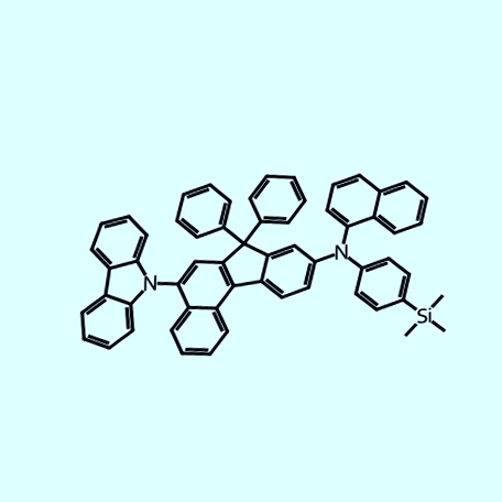 C[Si](C)(C)c1ccc(N(c2ccc3c(c2)C(c2ccccc2)(c2ccccc2)c2cc(-n4c5ccccc5c5ccccc54)c4ccccc4c2-3)c2cccc3ccccc23)cc1